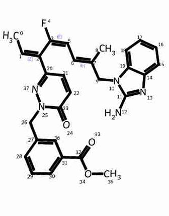 C\C=C(/C(F)=C\C=C(/C)Cn1c(N)nc2ccccc21)c1ccc(=O)n(Cc2cccc(C(=O)OC)c2)n1